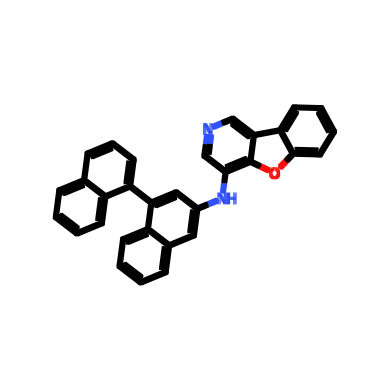 c1ccc2c(-c3cc(Nc4cncc5c4oc4ccccc45)cc4ccccc34)cccc2c1